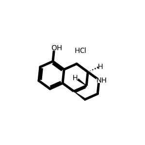 Cl.Oc1cccc2c1C[C@H]1NCC[C@@]23CCCC[C@@H]13